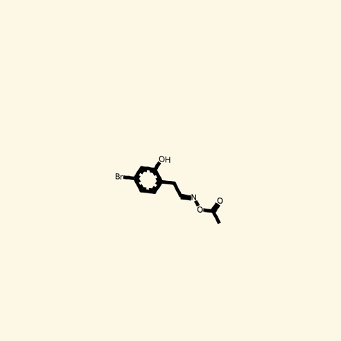 CC(=O)ON=CCc1ccc(Br)cc1O